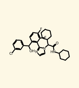 O=C(NC1CCCCC1)C(C1CCCCC1)n1ccnc1-c1c(C(O)c2cccc(Cl)c2)ccc(F)c1F